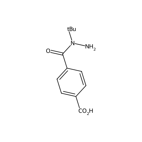 CC(C)(C)N(N)C(=O)c1ccc(C(=O)O)cc1